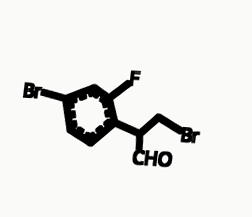 O=CC(CBr)c1ccc(Br)cc1F